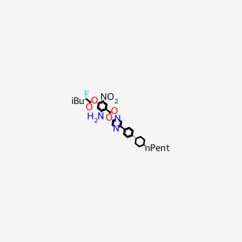 CCCCC[C@H]1CC[C@H](c2ccc(-c3cnc(OC(=O)c4cc([N+](=O)[O-])c(OC(=O)[C@@H](F)[C@@H](C)CC)cc4N)cn3)cc2)CC1